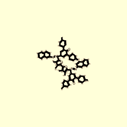 Cc1ccc(C2=CC(C(/N=N/c3ccc4ccccc4c3)c3oc(-c4oc(C(/N=N/c5ccc6ccccc6c5)C5C=C(c6ccc(C)cc6)C(=O)C(c6ccc(C)cc6)=C5)c(C)c4C)c(C)c3C)C=C(c3ccc(C)cc3)C2=O)cc1